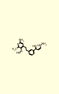 Cc1nc(N)cc(CCc2cccc(C(=N)/C=C\NN)c2)c1N=N